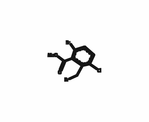 COC(=O)c1c(Br)ccc(Cl)c1CBr